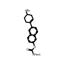 CCCCCC(=O)Oc1ccc2cc(C3=CCC(CCCC)CC3)ccc2c1